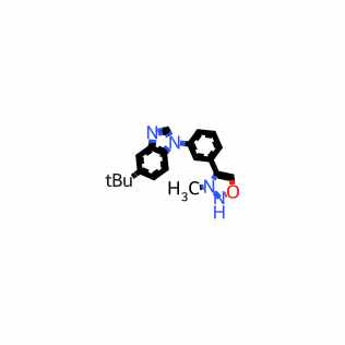 CN1NOC=C1c1cccc(-n2cnc3cc(C(C)(C)C)ccc32)c1